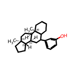 C[C@@]12CCC[C@H]1[C@@H]1CC(c3cccc(O)c3)C3CCCC[C@]3(C)[C@@H]1CC2